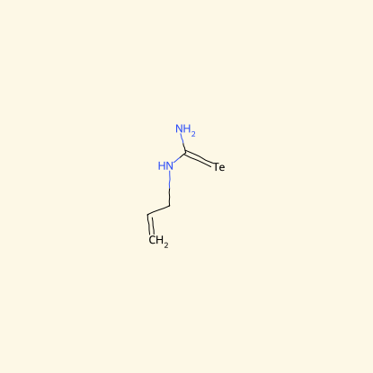 C=CCNC(N)=[Te]